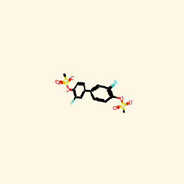 CS(=O)(=O)Oc1ccc(-c2ccc(OS(C)(=O)=O)c(F)c2)cc1F